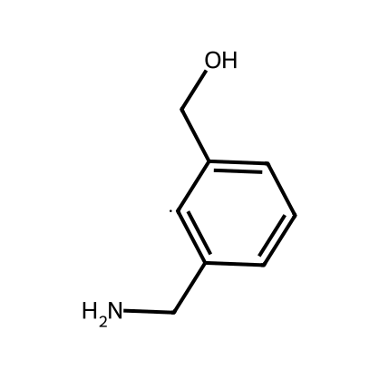 NCc1[c]c(CO)ccc1